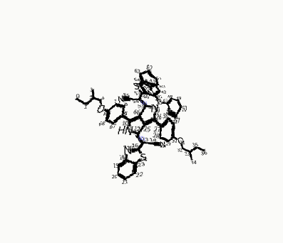 CCC(C)COc1ccc(-c2[nH]/c(=C(/C#N)c3nc4ccccc4s3)c3c(-c4ccc(OCC(C)CC)cc4)n(B(c4ccccc4)c4ccccc4)/c(=C(/C#N)c4nc5ccccc5s4)c23)cc1